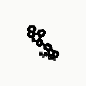 CC1(C)c2ccccc2-c2ccc(-c3ccc4c(c3)-c3ccccc3-c3c(ccc5ccccc35)O4)cc21